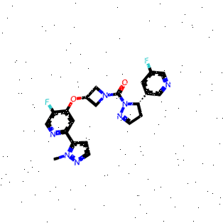 Cn1nccc1-c1cc(OC2CN(C(=O)N3N=CC[C@H]3c3cncc(F)c3)C2)c(F)cn1